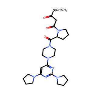 CN(O)C(=O)CC(=O)N1CCCC1C(=O)N1CCN(c2cc(N3CCCC3)nc(N3CCCC3)n2)CC1